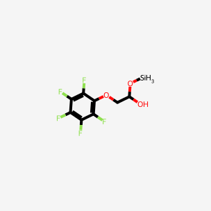 OC(COc1c(F)c(F)c(F)c(F)c1F)O[SiH3]